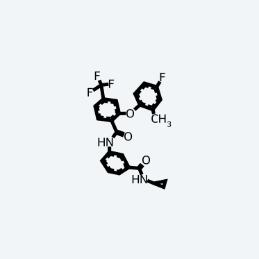 Cc1cc(F)ccc1Oc1cc(C(F)(F)F)ccc1C(=O)Nc1cccc(C(=O)NC2CC2)c1